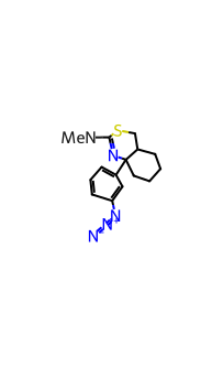 CNC1=NC2(c3cccc(N=[N+]=[N-])c3)CCCCC2CS1